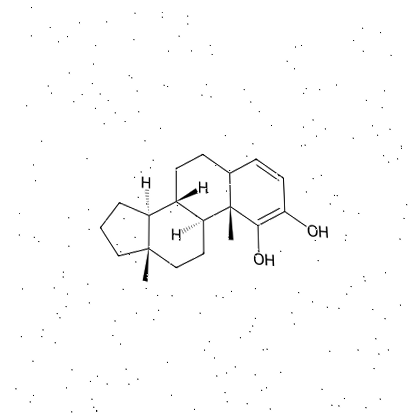 C[C@@]12CCC[C@H]1[C@@H]1CCC3C=CC(O)=C(O)[C@]3(C)[C@H]1CC2